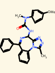 COc1ccc(N(C)C(=O)NC2N=C(c3ccccc3)c3ccccc3-n3c(C)nnc32)cc1